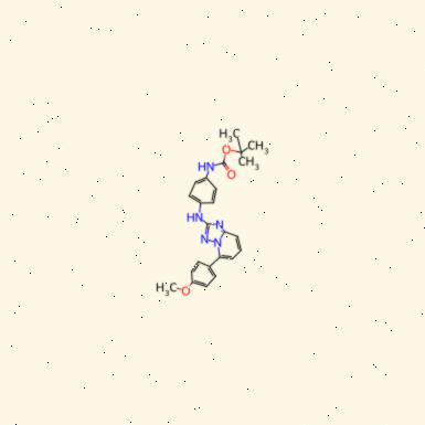 COc1ccc(-c2cccc3nc(Nc4ccc(NC(=O)OC(C)(C)C)cc4)nn23)cc1